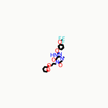 CN1CC(=O)N(CCCOC2CCCCO2)C(=O)c2[nH]c(Oc3cccc(OC(F)(F)F)c3)nc21